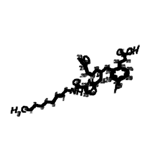 CCCCCCCCCNC(=O)c1coc(CC(CCCC2CO2)Cc2cc(F)ccc2CCC(=O)O)n1